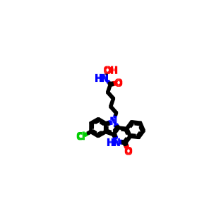 O=C(CCCCn1c2ccc(Cl)cc2c2[nH]c(=O)c3ccccc3c21)NO